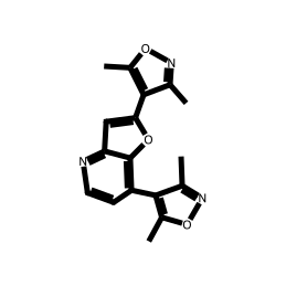 Cc1noc(C)c1-c1cc2nccc(-c3c(C)noc3C)c2o1